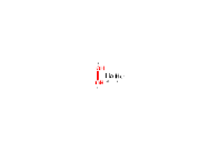 OO.[Ho].[Ho]